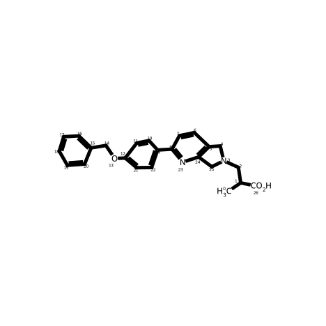 CC(CN1Cc2ccc(-c3ccc(OCc4ccccc4)cc3)nc2C1)C(=O)O